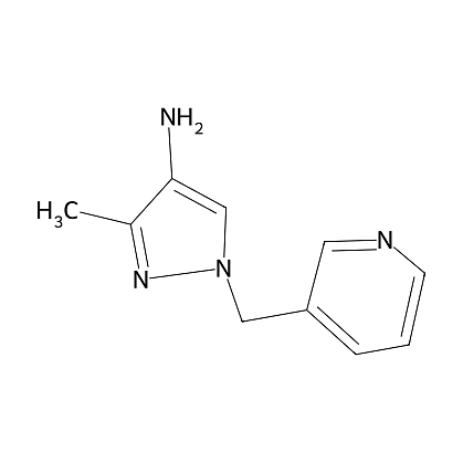 Cc1nn(Cc2cccnc2)cc1N